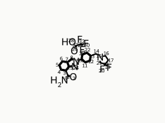 NC(=O)c1cccc2cn(-c3ccc(CN4CCC(F)(F)C4)cc3)nc12.O=C(O)C(F)(F)F